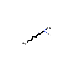 CCCCCCCCCCC/C=C/CN(C)C=O